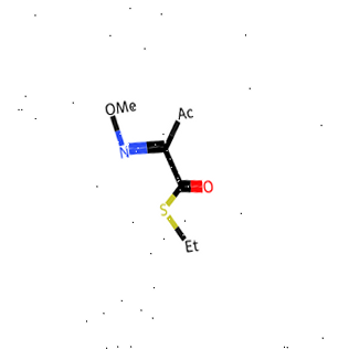 CCSC(=O)C(=NOC)C(C)=O